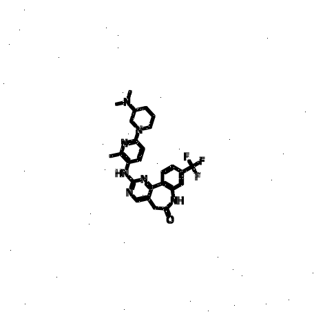 Cc1nc(N2CCCC(N(C)C)C2)ccc1Nc1ncc2c(n1)-c1ccc(C(F)(F)F)cc1NC(=O)C2